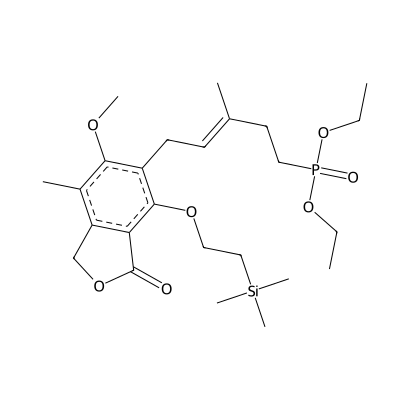 CCOP(=O)(CC/C(C)=C/Cc1c(OC)c(C)c2c(c1OCC[Si](C)(C)C)C(=O)OC2)OCC